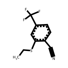 CCSc1cc(C(F)(F)F)ccc1C#N